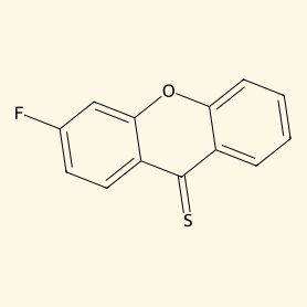 Fc1ccc2c(=S)c3ccccc3oc2c1